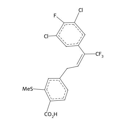 CSc1cc(CC=C(c2cc(Cl)c(F)c(Cl)c2)C(F)(F)F)ccc1C(=O)O